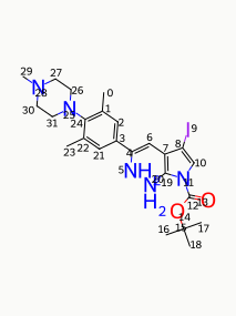 Cc1cc(/C(N)=C/c2c(I)cn(C(=O)OC(C)(C)C)c2N)cc(C)c1N1CCN(C)CC1